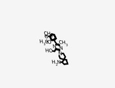 COc1cccc(-c2nc(CO)c(N3CCC4(CCCC4N)CC3)nc2C)c1OC